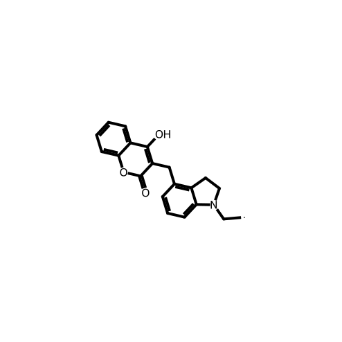 [CH2]CN1CCc2c(Cc3c(O)c4ccccc4oc3=O)cccc21